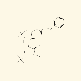 COC(=O)[C@H](COC(C)(C)C)NC(=O)[C@@H](CC(C)(C)C)NC(=O)OCc1ccccc1